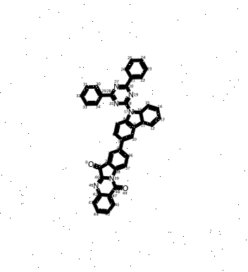 O=C1c2cc(-c3ccc4c(c3)C3C=CC=CC3N4c3nc(-c4ccccc4)nc(-c4ccccc4)n3)ccc2-n2c1nc1ccccc1c2=O